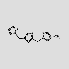 Cc1csc(Cc2cc(Cc3ccco3)cs2)c1